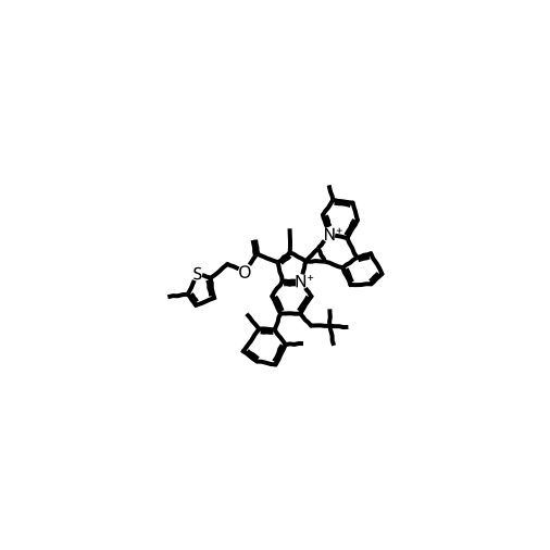 C=C(OCc1ccc(C)s1)C1=C(C)C2(C3c4ccccc4-c4ccc(C)c[n+]4C32)[n+]2cc(CC(C)(C)C)c(-c3c(C)cccc3C)cc21